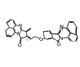 C=C1C2=NC3=CC=CC4CC=CC(=C34)N2C(=O)/C1=C/COC1C=C2C(=O)N3C(=Nc4cccc5cccc3c45)C2=CC1